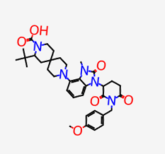 COc1ccc(CN2C(=O)CCC(n3c(=O)n(C)c4c(N5CCC6(CC5)CCN(C(=O)O)C(C(C)(C)C)C6)cccc43)C2=O)cc1